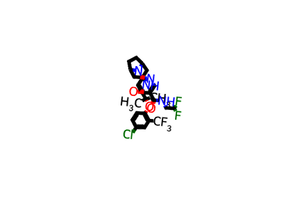 CC(C)(Oc1ccc(Cl)cc1C(F)(F)F)C(=O)NC1CC2CCC(C1)N2c1ccc(C(=O)NCC(F)F)cn1